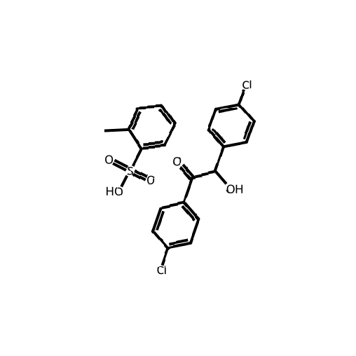 Cc1ccccc1S(=O)(=O)O.O=C(c1ccc(Cl)cc1)C(O)c1ccc(Cl)cc1